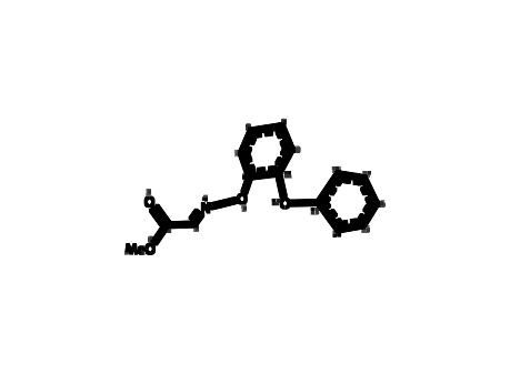 COC(=O)C=NOc1ccccc1Oc1ccccc1